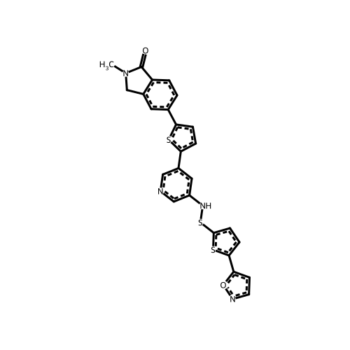 CN1Cc2cc(-c3ccc(-c4cncc(NSc5ccc(-c6ccno6)s5)c4)s3)ccc2C1=O